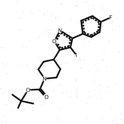 CC(C)(C)OC(=O)N1CCC(c2onc(-c3ccc(F)cc3)c2I)CC1